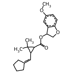 COc1ccc2c(c1)C(OC(=O)C1C(C=C3CCCC3)C1(C)C)CO2